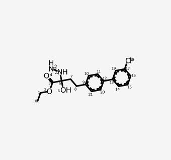 CCOC(=O)C(O)(CCc1ccc(-c2cccc(Cl)c2)cc1)NN